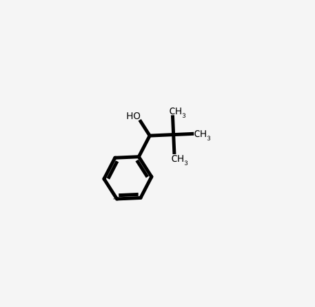 CC(C)(C)C(O)c1cc[c]cc1